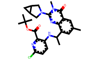 Cc1cc(C(C)Nc2ccc(Cl)nc2C(=O)OC(C)(C)C)c2nc(N3CC4CC4C3)n(C)c(=O)c2c1